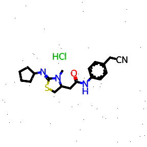 CN1/C(=N/C2CCCC2)SCC1CC(=O)Nc1ccc(CC#N)cc1.Cl